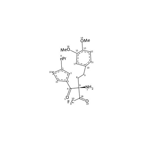 CCCc1cc(C(=O)[C@](N)(CCc2ccc(OC)c(OC)c2)C(=O)C(F)(F)F)cs1